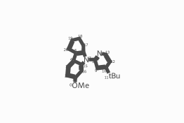 COC1=C=C=c2c3c(n(-c4cc(C(C)(C)C)ccn4)c2=C1)CCC=C3